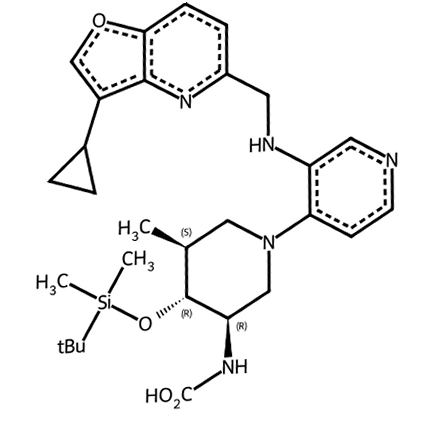 C[C@H]1CN(c2ccncc2NCc2ccc3occ(C4CC4)c3n2)C[C@@H](NC(=O)O)[C@@H]1O[Si](C)(C)C(C)(C)C